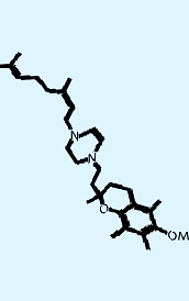 COc1c(C)c(C)c2c(c1C)CCC(C)(CCN1CCN(CC=C(C)CCC=C(C)C)CC1)O2